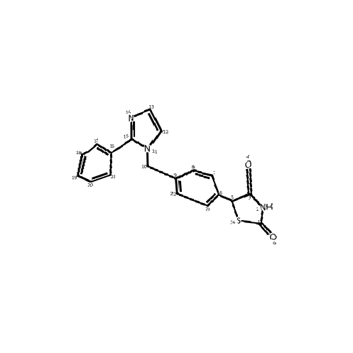 O=C1NC(=O)C(c2ccc(Cn3ccnc3-c3ccccc3)cc2)S1